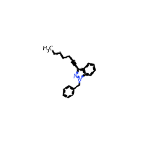 CCCCCC#Cc1nn(Cc2ccccc2)c2ccccc12